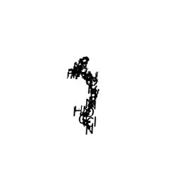 CCc1cnn2c(NCc3ccc(OCCCN4CCN(CC5CCN(c6ncc(C(=O)N[C@H]7C(C)(C)[C@H](Oc8ccc(C#N)c(Cl)c8)C7(C)C)cn6)CC5)CC4)nc3)cc(N3CCCCC3)nc12